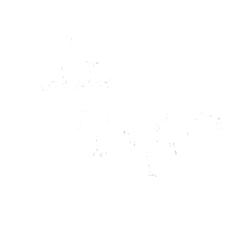 CC(=O)C(N=Nc1cc(S(=O)(=O)Nc2ccccc2C(=O)O)ccc1O)C(=O)Nc1ccccc1Cl